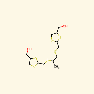 CC(CSCC1SCC(CO)S1)SCC1SCC(CO)S1